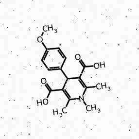 COc1ccc(C2C(C(=O)O)=C(C)N(C)C(C)=C2C(=O)O)cc1